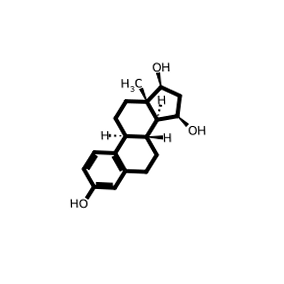 C[C@]12CC[C@@H]3c4ccc(O)cc4CC[C@H]3[C@@H]1[C@H](O)C[C@@H]2O